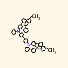 C=Cc1ccc(CC2(c3ccccc3)c3ccccc3-c3ccc(N(c4ccccc4)c4ccc(-c5ccc(N(c6ccccc6)c6ccc7c(c6)C(Cc6ccc(C=C)cc6)(c6ccccc6)c6ccccc6-7)cc5)cc4)cc32)cc1